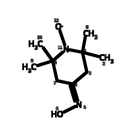 CC1(C)CC(=NO)CC(C)(C)N1[O]